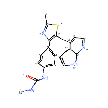 CCNC(=O)Nc1ccc(-c2nc(C)sc2C2=CC=NC3NC=CC23)cc1